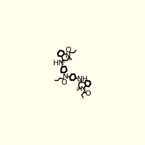 CCCC(=O)N(c1ccc(N[C@@H]2C[C@H](C)N(C(=O)CC)c3ccccc32)cc1)c1ccc(N[C@@H]2C[C@H](C)N(C(=O)CC)c3ccccc32)cc1